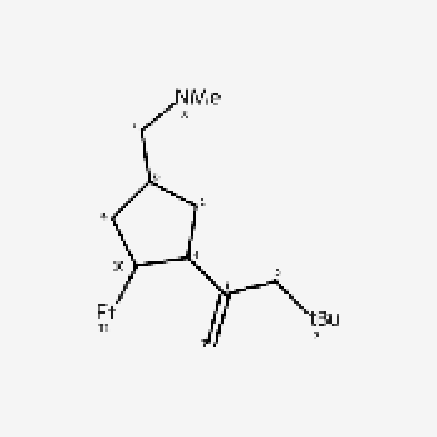 C=C(CC(C)(C)C)C1CC(CNC)CC1CC